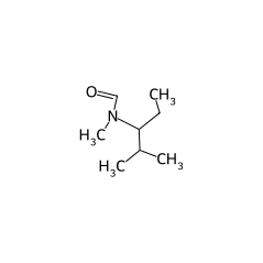 CCC(C(C)C)N(C)C=O